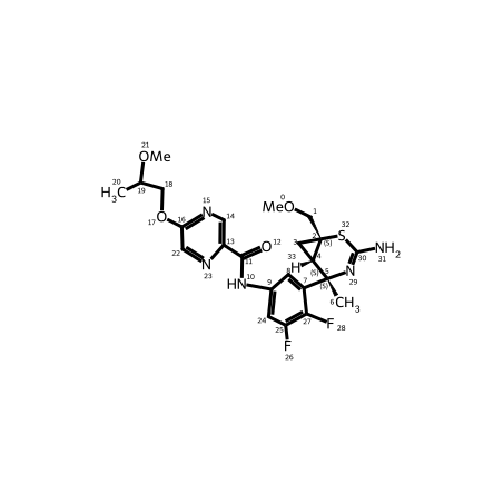 COC[C@]12C[C@H]1[C@@](C)(c1cc(NC(=O)c3cnc(OCC(C)OC)cn3)cc(F)c1F)N=C(N)S2